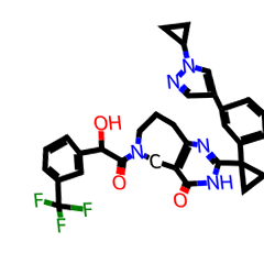 O=C(C(O)c1cccc(C(F)(F)F)c1)N1CCCc2nc(C3(c4cccc(-c5cnn(C6CC6)c5)c4)CC3)[nH]c(=O)c2C1